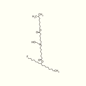 CCCCCCCCC(CCCCCCCF)OC(=O)CCCCCCCN(CCO)CCCCCC(=O)OCCCCCCC(C)C